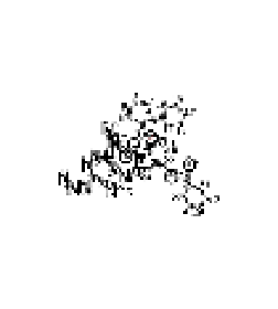 C[C@@]1(OC(=O)c2ccccc2)[C@H](OC(=O)c2ccccc2)[C@@H](COC(=O)c2ccccc2)O[C@H]1n1cnc2c(N=[N+]=[N-])nnc(N=[N+]=[N-])c21